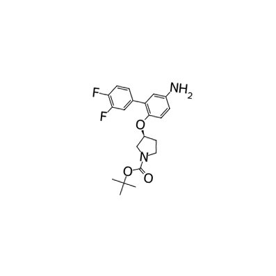 CC(C)(C)OC(=O)N1CC[C@H](Oc2ccc(N)cc2-c2ccc(F)c(F)c2)C1